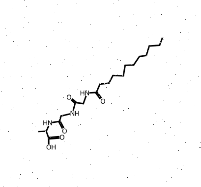 CCCCCCCCCCCC(=O)NCC(=O)NCC(=O)NC(C)C(=O)O